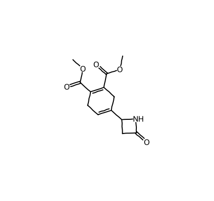 COC(=O)C1=C(C(=O)OC)CC(C2CC(=O)N2)=CC1